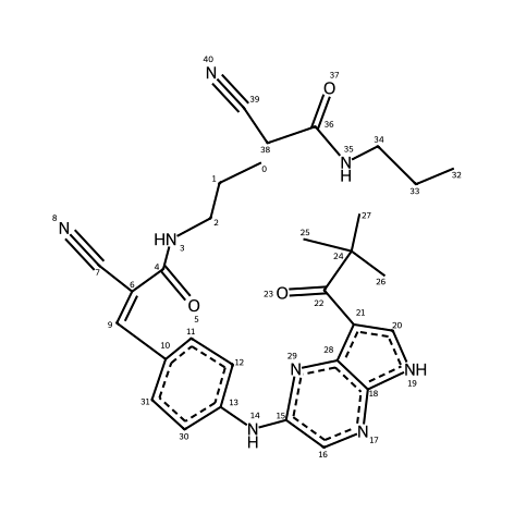 CCCNC(=O)C(C#N)=Cc1ccc(Nc2cnc3[nH]cc(C(=O)C(C)(C)C)c3n2)cc1.CCCNC(=O)CC#N